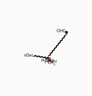 CCCCCCCCCCCCCCCCCC[C@H](C)[C@H](CCCCCCCCCCCCCCCCCC[C@H]1C[C@H]1C=O)O[Si](C)(C)C(C)(C)C